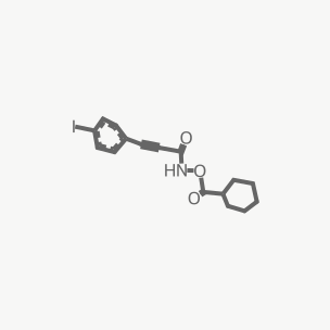 O=C(C#Cc1ccc(I)cc1)NOC(=O)C1CCCCC1